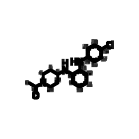 CC(=O)N1CCC(Nc2ccccc2Nc2ccc(Cl)cc2)CC1